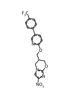 O=[N+]([O-])c1cn2c(n1)OCC(COc1ccc(-c3ccc(C(F)(F)F)cc3)cn1)C2